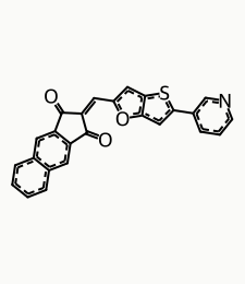 O=C1C(=Cc2cc3sc(-c4cccnc4)cc3o2)C(=O)c2cc3ccccc3cc21